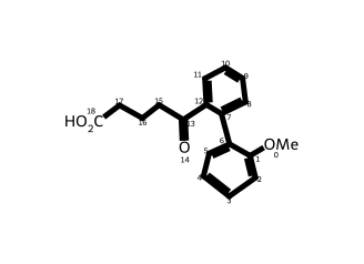 COc1ccccc1-c1ccccc1C(=O)CCCC(=O)O